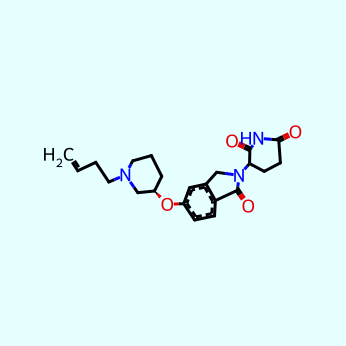 C=CCCN1CCC[C@@H](Oc2ccc3c(c2)CN(C2CCC(=O)NC2=O)C3=O)C1